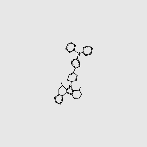 CC1CC=Cc2c3c(n(C4C=CC(c5ccc(N(c6ccccc6)c6ccccc6)cc5)=CC4)c21)C(C)Cc1ccccc1-3